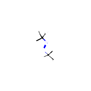 [C-]#[N+]C(C)(C)N=NC(C)(C)[N+]#[C-]